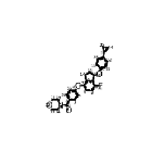 O=C(c1ccc(Oc2ccc(F)c3c2CCC3Oc2ccc(C3CC3)cc2)cc1)N1CCOCC1